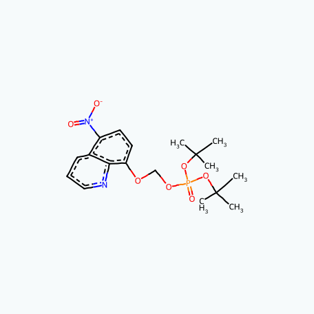 CC(C)(C)OP(=O)(OCOc1ccc([N+](=O)[O-])c2cccnc12)OC(C)(C)C